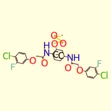 CS(=O)(=O)OC1CC2(NC(=O)COc3ccc(Cl)c(F)c3)CCC1(NC(=O)COc1ccc(Cl)c(F)c1)CC2